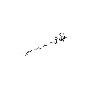 CCCCCCCCCCCCCCCCCCOC(=O)CSC(=O)Nc1ccccc1